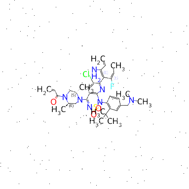 C=CC(=O)N1C[C@H](C)N(C2=NS(=O)(=O)N(c3ccc(CN(C)C)cc3C(C)(C)C)c3nc(C(/C(F)=C\C)=C(\N)C=C)c(Cl)cc32)C[C@H]1C